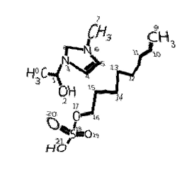 CC(O)N1C=CN(C)C1.CCCCCCCCOS(=O)(=O)O